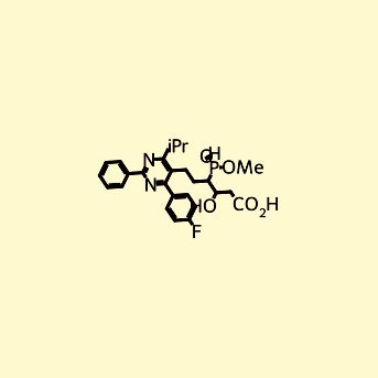 CO[PH](=O)C(CCc1c(-c2ccc(F)cc2)nc(-c2ccccc2)nc1C(C)C)C(O)CC(=O)O